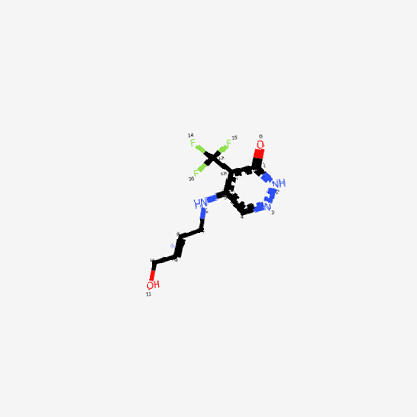 O=c1[nH]ncc(NC/C=C/CO)c1C(F)(F)F